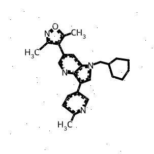 Cc1ccc(-c2cn(CC3CCCCC3)c3cc(-c4c(C)noc4C)cnc23)cn1